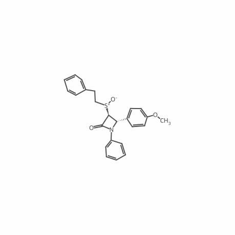 COc1ccc([C@H]2[C@H]([S+]([O-])CCc3ccccc3)C(=O)N2c2ccccc2)cc1